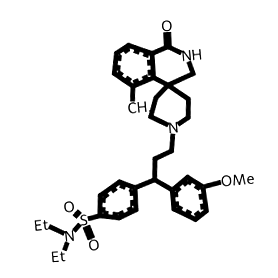 CCN(CC)S(=O)(=O)c1ccc(C(CCN2CCC3(CC2)CNC(=O)c2cccc(C)c23)c2cccc(OC)c2)cc1